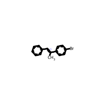 C/C(=C\c1ccccc1)c1ccc(Br)cc1